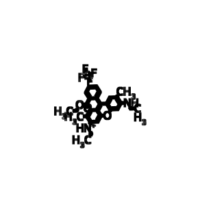 CCNc1cc2oc3cc(=[NH+]CC)c(C)cc-3c(-c3ccccc3C(=O)OCC)c2cc1C.F[B-](F)(F)F